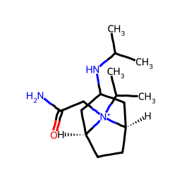 CC(C)NC1C[C@H]2CC[C@@H](C1)[N+]2(CC(N)=O)C(C)C